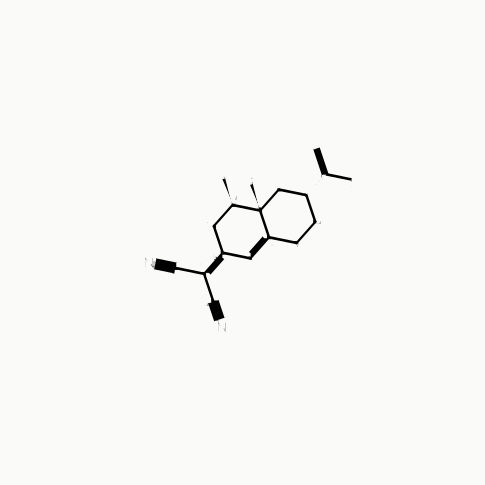 C=C(C)[C@@H]1CCC2=CC(=C(C#N)C#N)C[C@@H](C)[C@]2(C)C1